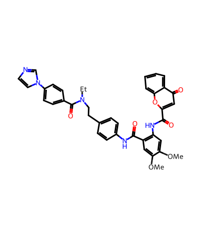 CCN(CCc1ccc(NC(=O)c2cc(OC)c(OC)cc2NC(=O)c2cc(=O)c3ccccc3o2)cc1)C(=O)c1ccc(-n2ccnc2)cc1